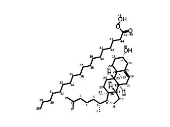 CC(C)CCC[C@@H](C)[C@H]1CC[C@H]2[C@@H]3CC=C4C[C@@H](O)CC[C@]4(C)[C@H]3CC[C@]12C.CCCCCCCCCCCCCCCCCC(=O)OO